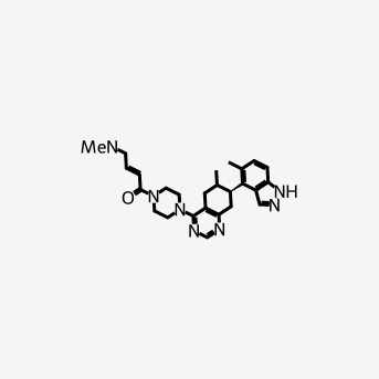 CNC/C=C/C(=O)N1CCN(c2ncnc3c2CC(C)[C@@H](c2c(C)ccc4[nH]ncc24)C3)CC1